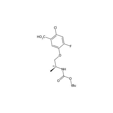 C[C@@H](COc1cc(C(=O)O)c(Cl)cc1F)NC(=O)OC(C)(C)C